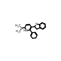 CN(C)C1C=CC(C2Cc3ccccc3S2)=C(C2=CCCC=C2)N1